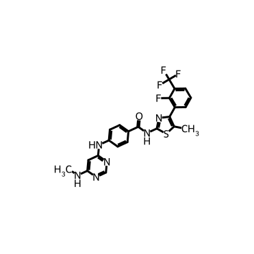 CNc1cc(Nc2ccc(C(=O)Nc3nc(-c4cccc(C(F)(F)F)c4F)c(C)s3)cc2)ncn1